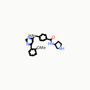 COc1ccccc1-c1cc([AsH]c2ccc(C(=O)NC3CCNC3)cc2)ncn1